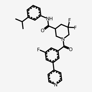 CC(C)c1cccc(NC(=O)C2CN(C(=O)c3cc(F)cc(-c4ccncc4)c3)CC(F)(F)C2)c1